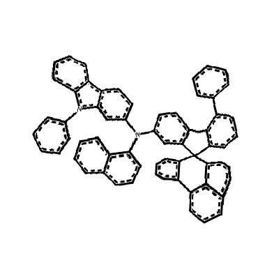 c1ccc(-c2cccc3c2-c2ccc(N(c4ccc5c6ccccc6n(-c6ccccc6)c5c4)c4cccc5ccccc45)cc2C32c3ccccc3-c3cccc4cccc2c34)cc1